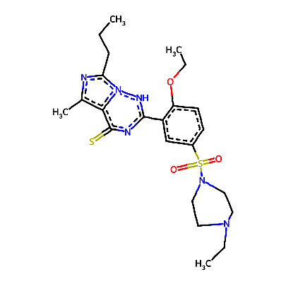 CCCc1nc(C)c2c(=S)nc(-c3cc(S(=O)(=O)N4CCN(CC)CC4)ccc3OCC)[nH]n12